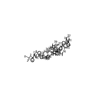 CC(C)CC(=O)N1CCO[C@@H](O[C@H]2CC[C@]34CC35CC[C@]3(C)[C@@H]6[C@H](O[C@@H]([C@H](OC(=O)N7CCC7)C(C)C)C[C@H]6C)[C@H](O)[C@@]3(C)[C@@H]5CC[C@H]4C2(C)C)C1